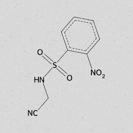 N#CCNS(=O)(=O)c1ccccc1[N+](=O)[O-]